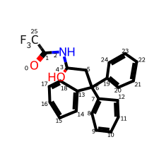 O=C(NC(O)CC(c1ccccc1)(c1ccccc1)c1ccccc1)C(F)(F)F